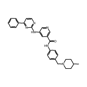 CC1CCN(Cc2ccc(NC(=O)c3cncc(Nc4nccc(-c5ccccc5)n4)c3)cc2)CC1